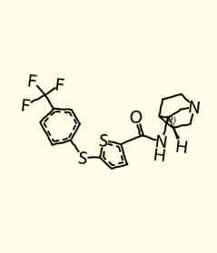 O=C(N[C@H]1CN2CCC1CC2)c1ccc(Sc2ccc(C(F)(F)F)cc2)s1